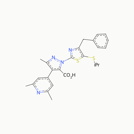 Cc1cc(-c2c(C)nn(-c3nc(Cc4ccccc4)c(SC(C)C)s3)c2C(=O)O)cc(C)n1